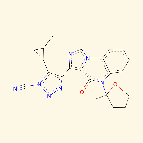 CC1CC1c1c(-c2ncn3c2c(=O)n(C2(C)CCCO2)c2ccccc23)nnn1C#N